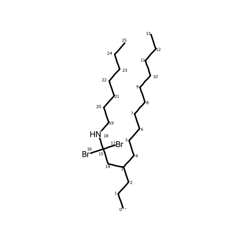 [CH2]CCC(CCCCCCCCCC)CC(Br)(Br)NCCCCCCC